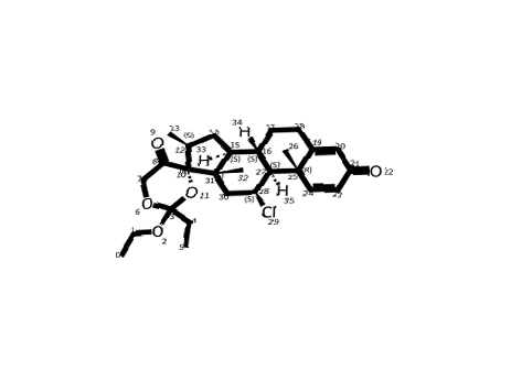 CCOC1(CC)OCC(=O)[C@@]2(O1)[C@@H](C)C[C@H]1[C@@H]3CCC4=CC(=O)C=C[C@]4(C)[C@H]3[C@@H](Cl)C[C@@]12C